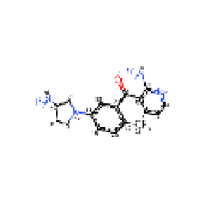 Nc1ncccc1C(=O)c1cc(N2CCC(N)C2)ccc1C(F)(F)F